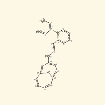 N=C/C(=C\N)c1ccncc1/C=C/NC1=CC=C2C=CN=CC(=C1)C2